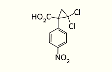 O=C(O)C1(c2ccc([N+](=O)[O-])cc2)CC1(Cl)Cl